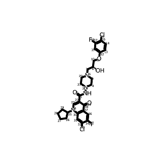 O=C(NN1CCN(C[C@H](O)COc2ccc(Cl)c(F)c2)CC1)c1cn(C2CCCC2)c2cc(Cl)c(F)cc2c1=O